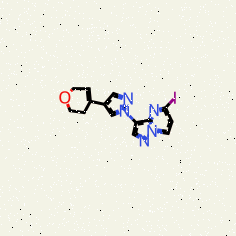 Ic1ccn2ncc(-n3cc(C4=CCOCC4)cn3)c2n1